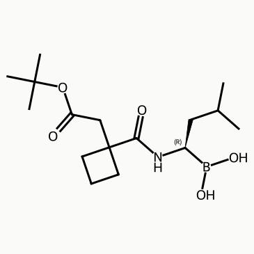 CC(C)C[C@H](NC(=O)C1(CC(=O)OC(C)(C)C)CCC1)B(O)O